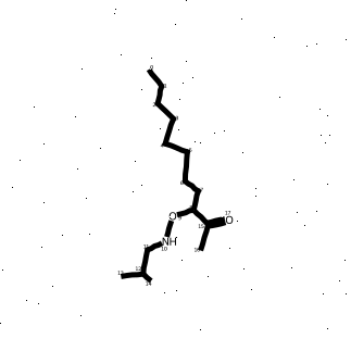 CCCCCCCCC(ONCC(C)C)C(C)=O